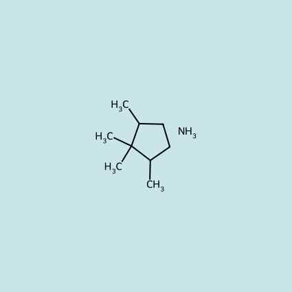 CC1CCC(C)C1(C)C.N